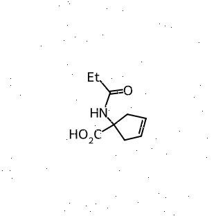 CCC(=O)NC1(C(=O)O)CC=CC1